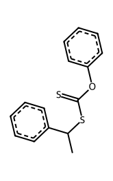 CC(SC(=S)Oc1ccccc1)c1ccccc1